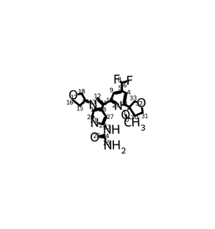 CO[C@@]1(c2cc(C(F)F)cc(-c3cn(C4CCOC4)c4cnc(NC(N)=O)cc34)n2)CCOC1